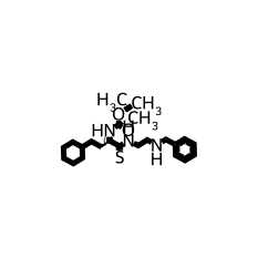 CC(C)(C)OC(=O)N[C@H](CCC1CCCCC1)C(=S)NCCNCc1ccccc1